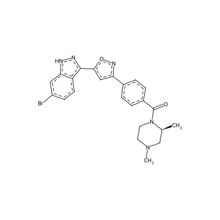 C[C@H]1CN(C)CCN1C(=O)c1ccc(-c2cc(-c3n[nH]c4cc(Br)ccc34)on2)cc1